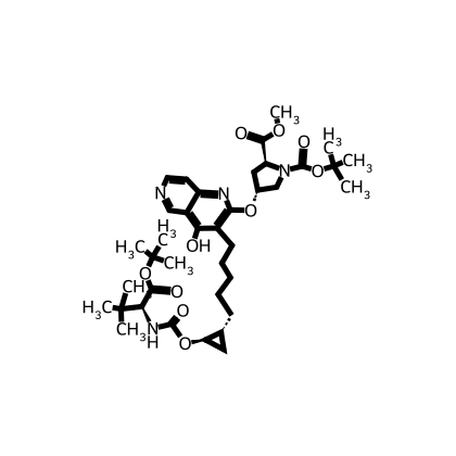 COC(=O)[C@@H]1C[C@@H](Oc2nc3ccncc3c(O)c2CCCCC[C@@H]2C[C@H]2OC(=O)N[C@H](C(=O)OC(C)(C)C)C(C)(C)C)CN1C(=O)OC(C)(C)C